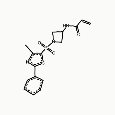 C=CC(=O)NC1CN(S(=O)(=O)c2sc(-c3ccccc3)nc2C)C1